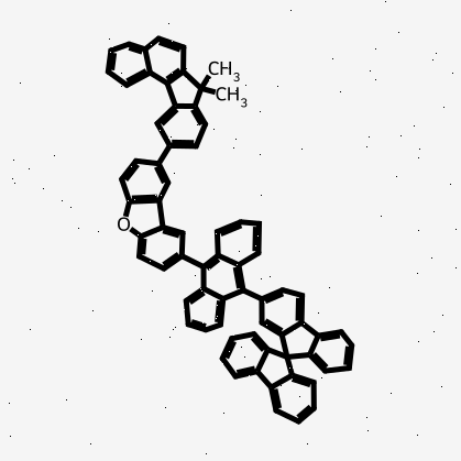 CC1(C)c2ccc(-c3ccc4oc5ccc(-c6c7ccccc7c(-c7ccc8c(c7)C7(c9ccccc9-c9ccccc97)c7ccccc7-8)c7ccccc67)cc5c4c3)cc2-c2c1ccc1ccccc21